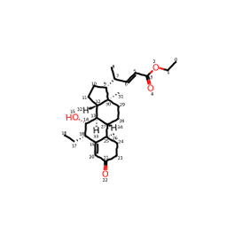 CCOC(=O)/C=C/C(C)[C@H]1CC[C@H]2[C@@H]3[C@@H](O)[C@@H](CC)C4=CC(=O)CC[C@]4(C)[C@H]3CC[C@]12C